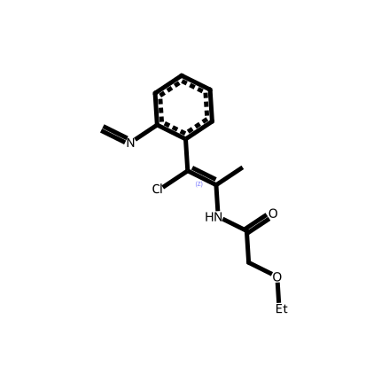 C=Nc1ccccc1/C(Cl)=C(\C)NC(=O)COCC